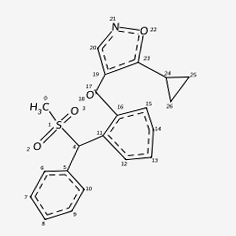 CS(=O)(=O)C(c1ccccc1)c1ccccc1C(=O)c1cnoc1C1CC1